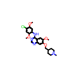 COc1cc(Nc2ncnc3cc(OCC4CCN(C)CC4)c(OC)cc23)c(OC)cc1Cl